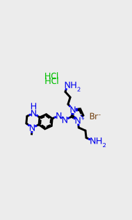 CN1CCNc2cc(/N=N/c3n(CCCN)cc[n+]3CCCN)ccc21.Cl.Cl.[Br-]